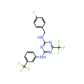 Fc1ccc(CNc2nc(Nc3cccc(C(F)(F)F)c3)nc(C(F)(F)F)n2)cc1